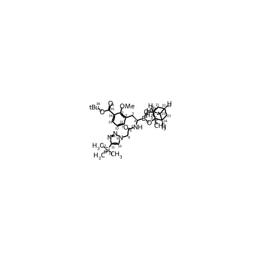 COc1c(C[C@H](NC(=O)Cn2cc([Si](C)(C)C)nn2)B2O[C@@H]3C[C@@H]4C[C@@H](C4(C)C)[C@]3(C)O2)cccc1C(=O)OC(C)(C)C